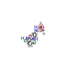 CCOP(=O)(CCNc1ccc(NC(C(N)=O)c2c(Cl)cccc2Cl)cc1)OCC